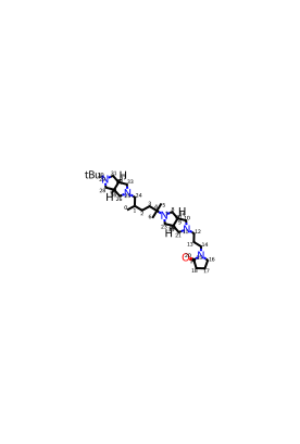 CC(CCC(C)(C)N1C[C@H]2CN(CCCN3CCCC3=O)C[C@H]2C1)CN1C[C@@H]2CN(C(C)(C)C)C[C@@H]2C1